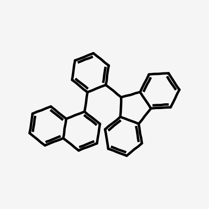 c1ccc2c(c1)-c1ccccc1C2c1ccccc1-c1cccc2ccccc12